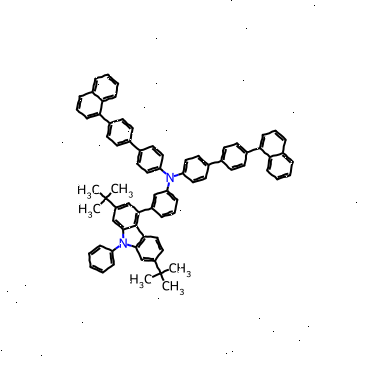 CC(C)(C)c1ccc2c3c(-c4cccc(N(c5ccc(-c6ccc(-c7cccc8ccccc78)cc6)cc5)c5ccc(-c6ccc(-c7cccc8ccccc78)cc6)cc5)c4)cc(C(C)(C)C)cc3n(-c3ccccc3)c2c1